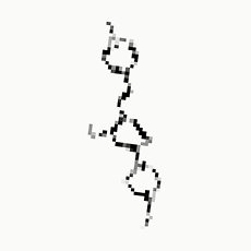 CCN1CCN(c2ccc(/C=C/c3cc[n+](C)cc3)cc2)CC1.S